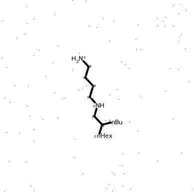 CCCCCCC(CCCC)CNCCCCN